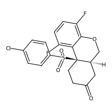 O=C1CC[C@]2(S(=O)(=O)c3ccc(Cl)cc3)c3c(F)ccc(F)c3OC[C@H]2C1